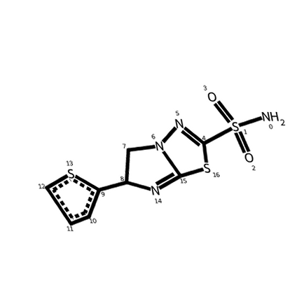 NS(=O)(=O)C1=NN2CC(c3cccs3)N=C2S1